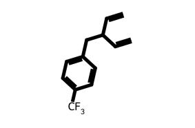 C=CC(C=C)Cc1ccc(C(F)(F)F)cc1